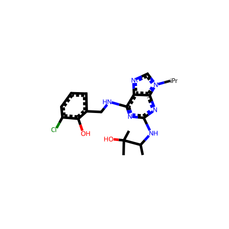 CC(C)n1cnc2c(NCc3cccc(Cl)c3O)nc(NC(C)C(C)(C)O)nc21